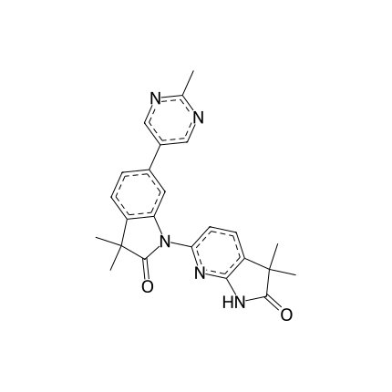 Cc1ncc(-c2ccc3c(c2)N(c2ccc4c(n2)NC(=O)C4(C)C)C(=O)C3(C)C)cn1